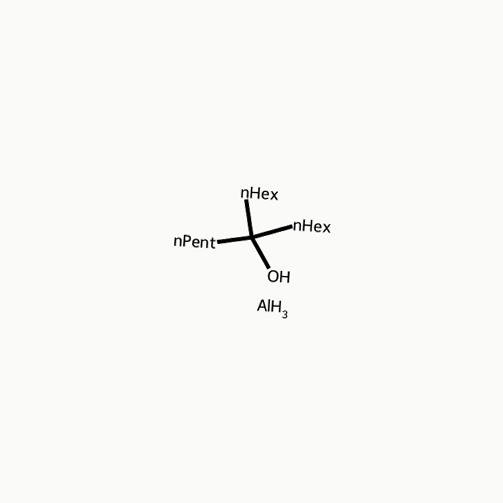 CCCCCCC(O)(CCCCC)CCCCCC.[AlH3]